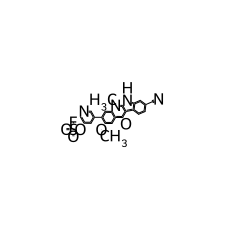 COc1cc2c(=O)c3c4ccc(C#N)cc4[nH]c3n(C)c2cc1-c1cncc(OS(=O)(=O)F)c1